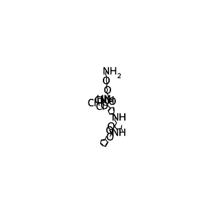 CC(C)[C@H](NC(=O)OCc1ccccc1)C(=O)CCNc1ccc(C(OC(=N)C(Cl)(Cl)Cl)C(=O)NCCOCCOCCN)cc1